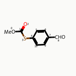 COC(=O)Sc1ccc(C=O)cc1